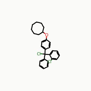 Clc1ccccc1C(Cl)(c1ccccc1)c1ccc(OC2CCCCCCC2)cc1